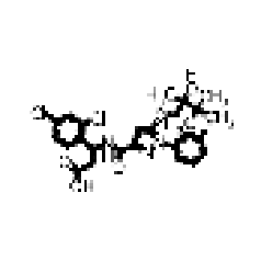 CC(C)(C)C(C)(O)COc1cc(C(=O)NC(CC(=O)O)c2ccc(Cl)cc2Cl)nn1-c1cccc(F)c1